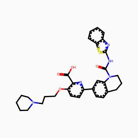 O=C(O)c1nc(-c2ccc3c(c2)N(C(=O)Nc2nc4ccccc4s2)CCC3)ccc1OCCCN1CCCCC1